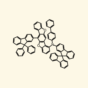 c1ccc(-c2ccc(N(c3ccc4c(c3)C3(c5ccccc5-c5ccccc53)c3ccccc3-4)c3cccc4oc5c(-c6ccc7c(c6)C(c6ccccc6)(c6ccccc6)c6ccccc6-7)c6c(cc5c34)oc3ccccc36)cc2)cc1